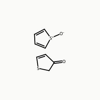 O=C1C=CSC1.[O-][s+]1cccc1